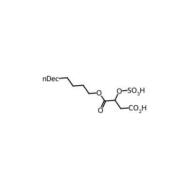 CCCCCCCCCCCCCCOC(=O)C(CC(=O)O)OS(=O)(=O)O